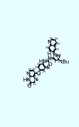 CC(C)(C)c1cc(NC(=O)Nc2ccc(Oc3ccnc4[nH]c(=O)cnc34)cc2F)n(-c2ccc3ncccc3c2)n1